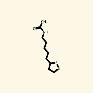 CC(=O)NCCCCCC1CCSS1